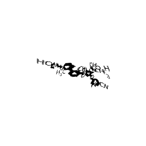 Cc1c(COc2cc(OCc3cncc(C#N)c3)c(CN(C)C(C)(CO)C(=O)O)cc2Cl)cccc1-c1cccc(OCCCN2CC[C@@H](O)C2)c1C